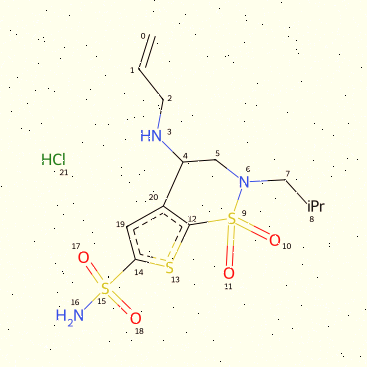 C=CCNC1CN(CC(C)C)S(=O)(=O)c2sc(S(N)(=O)=O)cc21.Cl